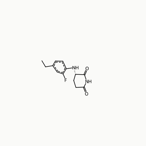 CCc1ccc(N[C@H]2CCC(=O)NC2=O)c(F)c1